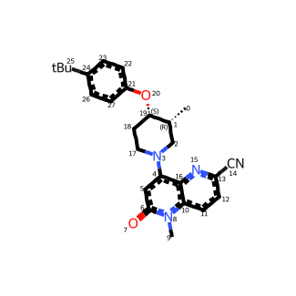 C[C@@H]1CN(c2cc(=O)n(C)c3ccc(C#N)nc23)CC[C@@H]1Oc1ccc(C(C)(C)C)cc1